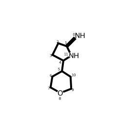 N=C1CCC(C2CCOCC2)N1